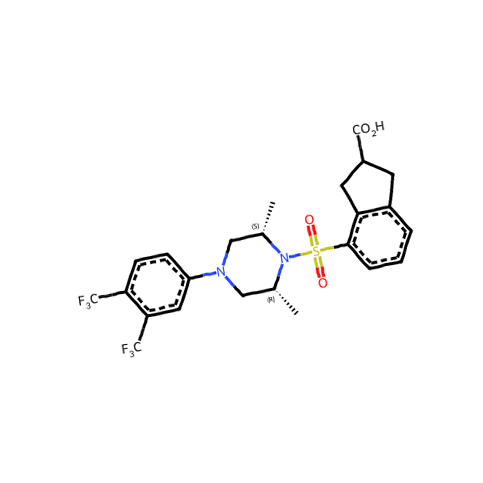 C[C@@H]1CN(c2ccc(C(F)(F)F)c(C(F)(F)F)c2)C[C@H](C)N1S(=O)(=O)c1cccc2c1CC(C(=O)O)C2